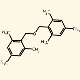 Cc1cc(C)c(COCc2c(C)cc(C)cc2C)c(C)c1